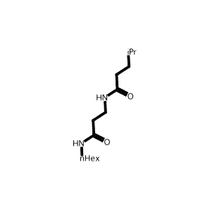 CCCCCCNC(=O)CCNC(=O)CCC(C)C